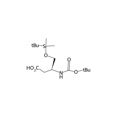 CC(C)(C)OC(=O)N[C@H](CO[Si](C)(C)C(C)(C)C)CC(=O)O